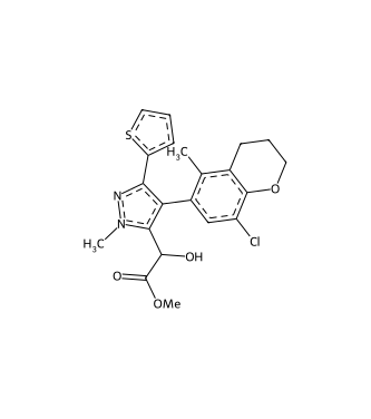 COC(=O)C(O)c1c(-c2cc(Cl)c3c(c2C)CCCO3)c(-c2cccs2)nn1C